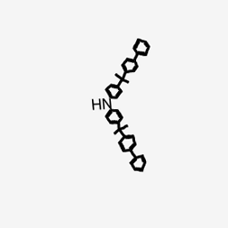 CC(C)(c1ccc(Nc2ccc(C(C)(C)c3ccc(-c4ccccc4)cc3)cc2)cc1)c1ccc(-c2ccccc2)cc1